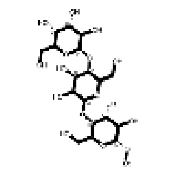 CCO[C@@H]1OC(CO)[C@@H](O[C@@H]2OC(CO)[C@H](O[C@H]3OC(CO)[C@H](O)[C@H](O)C3O)[C@H](O)C2O)[C@H](O)C1O